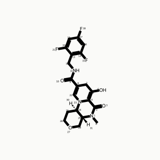 CN1C(=O)C2=C(O)CC(C(=O)NCc3c(F)cc(F)cc3F)=CN2[C@@H]2CCOC[C@H]21